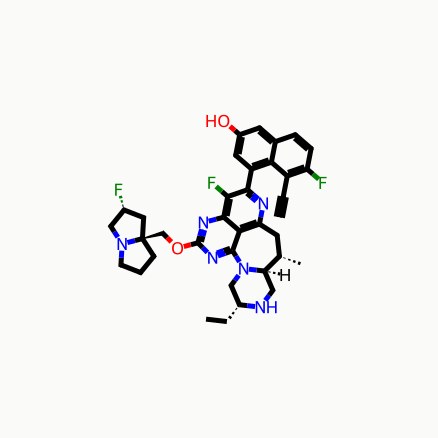 C#Cc1c(F)ccc2cc(O)cc(-c3nc4c5c(nc(OC[C@@]67CCCN6C[C@H](F)C7)nc5c3F)N3C[C@@H](CC)NC[C@@H]3[C@@H](C)C4)c12